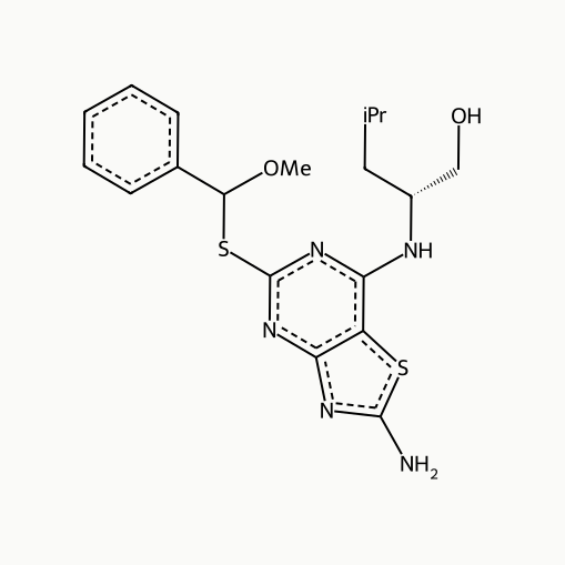 COC(Sc1nc(N[C@@H](CO)CC(C)C)c2sc(N)nc2n1)c1ccccc1